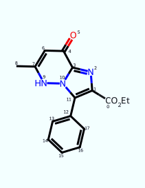 CCOC(=O)c1nc2c(=O)cc(C)[nH]n2c1-c1ccccc1